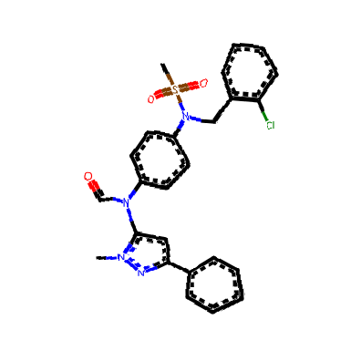 Cn1nc(-c2ccccc2)cc1N(C=O)c1ccc(N(Cc2ccccc2Cl)S(C)(=O)=O)cc1